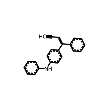 C#CC=C(c1ccccc1)c1ccc(Nc2ccccc2)cc1